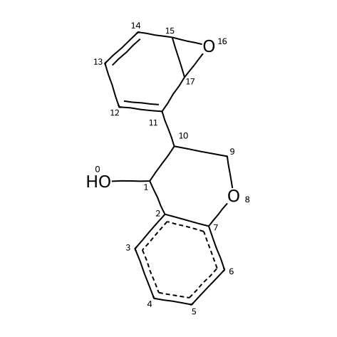 OC1c2ccccc2OCC1C1=CC=CC2OC12